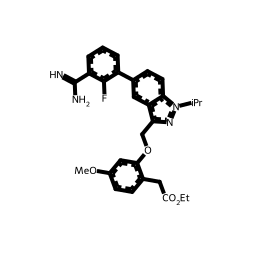 CCOC(=O)Cc1ccc(OC)cc1OCc1nn(C(C)C)c2ccc(-c3cccc(C(=N)N)c3F)cc12